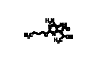 CCCCOc1nc(N)c2[nH]c(=O)n([C](C)O)c2n1